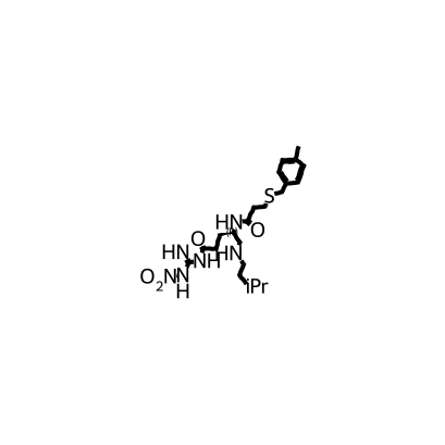 Cc1ccc(CSCCC(=O)N[C@H](CCC(=O)NC(=N)N[N+](=O)[O-])CNCCC(C)C)cc1